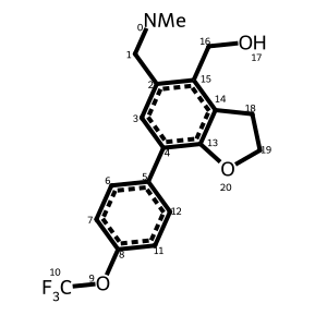 CNCc1cc(-c2ccc(OC(F)(F)F)cc2)c2c(c1CO)CCO2